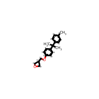 Cc1ccc(C(C)(C)c2ccc(OCC3COC3)cc2)cc1